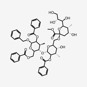 COC(=O)[C@@]1(OCC2O[C@@H](O[C@@H]3C(COC(=O)c4ccccc4)O[C@@H](OCc4ccccc4)C(OC(=O)c4ccccc4)[C@H]3C)C(OC(=O)c3ccccc3)[C@@H](C)[C@H]2O)C[C@@H](O)[C@@H](C)C([C@H](O)[C@H](O)CO)O1